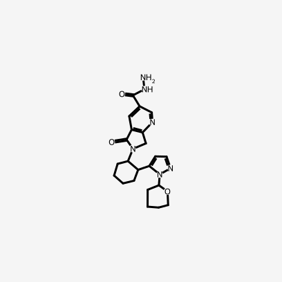 NNC(=O)c1cnc2c(c1)C(=O)N(C1CCCCC1c1ccnn1C1CCCCO1)C2